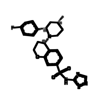 C[C@@H]1CCN([C@H]2CCOc3cc(S(=O)(=O)Nc4ncns4)ccc32)[C@H](c2ccc(F)cc2)C1